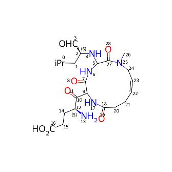 CC(C)C[C@@H](C=O)NC1NC(=O)C(C(=O)[C@@H](N)CCC(=O)O)NC(=O)CCC=CCN(C)C1=O